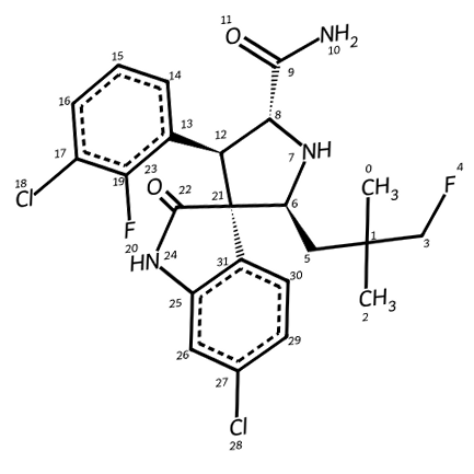 CC(C)(CF)C[C@@H]1N[C@@H](C(N)=O)[C@H](c2cccc(Cl)c2F)[C@]12C(=O)Nc1cc(Cl)ccc12